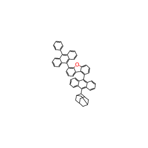 c1ccc(-c2c3ccccc3c(-c3cccc4c3oc3cccc(-c5c6ccccc6c(C6C7CC8CC(C7)CC6C8)c6ccccc56)c34)c3ccccc23)cc1